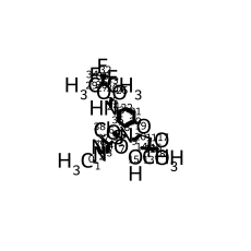 CCn1cc(S(=O)(=O)N2C[C@H](C[C@@](C)(CO)C(=O)O)Oc3ccc(NC(=O)OC(C)(C)C(F)(F)F)cc32)c(Cl)n1